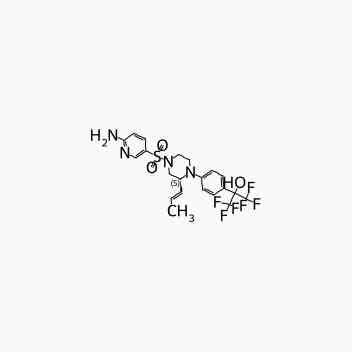 CC=C[C@H]1CN(S(=O)(=O)c2ccc(N)nc2)CCN1c1ccc(C(O)(C(F)(F)F)C(F)(F)F)cc1